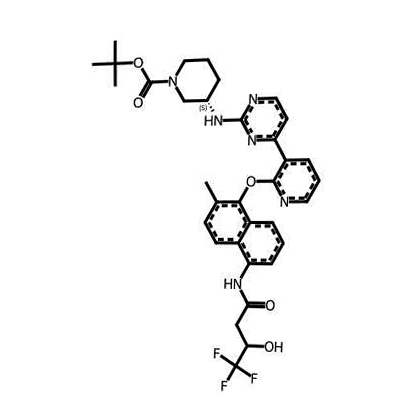 Cc1ccc2c(NC(=O)CC(O)C(F)(F)F)cccc2c1Oc1ncccc1-c1ccnc(N[C@H]2CCCN(C(=O)OC(C)(C)C)C2)n1